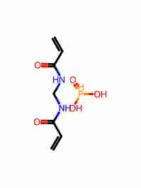 C=CC(=O)NCNC(=O)C=C.O=[PH](O)O